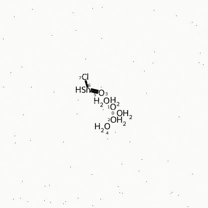 O.O.O.O.O.[O]=[SnH][Cl]